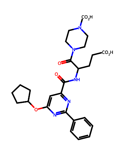 O=C(O)CCC(NC(=O)c1cc(OC2CCCC2)nc(-c2ccccc2)n1)C(=O)N1CCN(C(=O)O)CC1